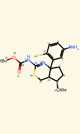 CO[C@@H]1CCC2(c3cc(N)ccc3F)N=C(NC(=O)OC(C)(C)C)SCC12